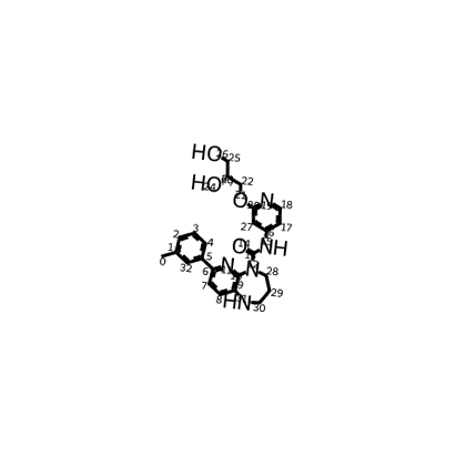 Cc1cccc(-c2ccc3c(n2)N(C(=O)Nc2ccnc(OC[C@H](O)CO)c2)CCCN3)c1